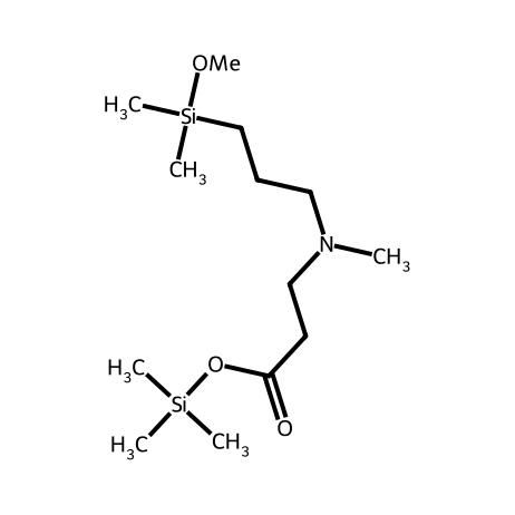 CO[Si](C)(C)CCCN(C)CCC(=O)O[Si](C)(C)C